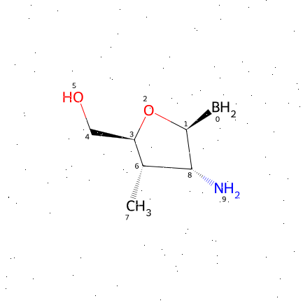 B[C@@H]1O[C@H](CO)[C@@H](C)[C@H]1N